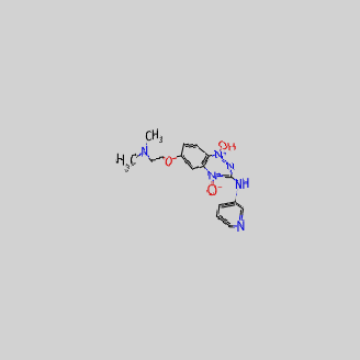 CN(C)CCOc1ccc2c(c1)[n+]([O-])c(Nc1cccnc1)n[n+]2O